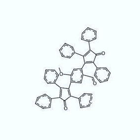 COc1cc(C2=C(c3ccccc3)C(=O)C(c3ccccc3)=C2c2ccccc2)c(C=O)cc1C1=C(c2ccccc2)C(=O)C(c2ccccc2)=C1c1ccccc1